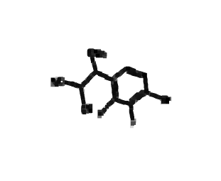 COC(c1ccc(Br)c(F)c1F)C(C#N)C#N